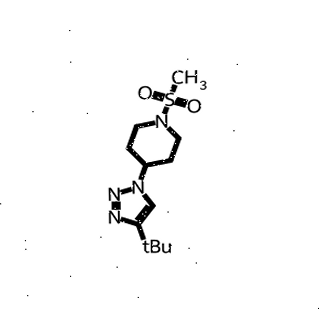 CC(C)(C)c1cn(C2CCN(S(C)(=O)=O)CC2)nn1